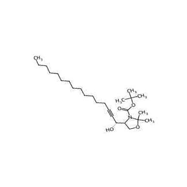 CCCCCCCCCCCCCC#C[C@@H](O)C1COC(C)(C)N1C(=O)OC(C)(C)C